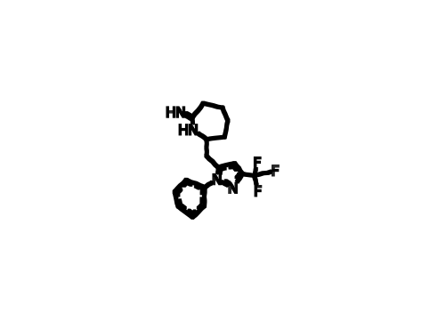 N=C1CCCCC(Cc2cc(C(F)(F)F)nn2-c2ccccc2)N1